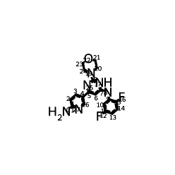 Nc1ccc(-c2cc(Nc3cc(F)ccc3F)nc(N3CCOCC3)n2)cn1